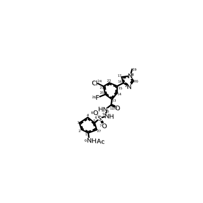 CC(=O)Nc1cccc(S(=O)(=O)NNC(=O)c2cc(-c3cn(C)cn3)cc(Cl)c2F)c1